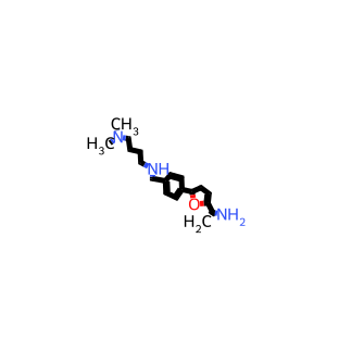 C=C(N)C1=CCC(c2ccc(CNCCCCN(C)C)cc2)O1